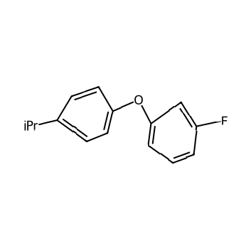 CC(C)c1ccc(Oc2cccc(F)c2)cc1